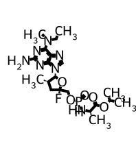 CCN(C)c1nc(N)nc2c1ncn2[C@@H]1O[C@](F)(CO[PH](=O)N[C@@H](C)C(=O)OC(C)C)C[C@@H]1C